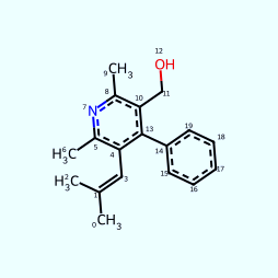 CC(C)=Cc1c(C)nc(C)c(CO)c1-c1ccccc1